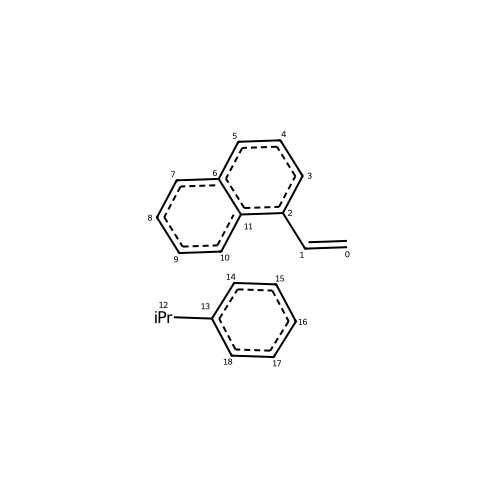 C=Cc1cccc2ccccc12.CC(C)c1ccccc1